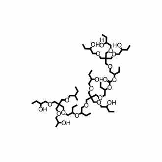 CCC(C)COCC(COCC(C)O)(COCC(O)CC)COCC(CC)OC(CC)COCC(COCC(O)CC)(COCC(O)CC)COCC(CC)OC(=O)OC(CC)COCC(COCC(O)CC)(COCC(O)CC)COCC(O)CC